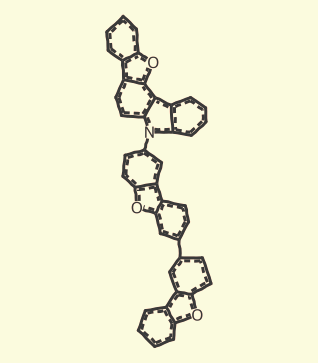 c1ccc2c(c1)oc1ccc(-c3ccc4c(c3)oc3ccc(-n5c6ccccc6c6c7oc8ccccc8c7ccc65)cc34)cc12